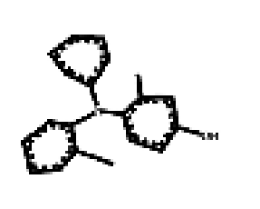 Cc1ccccc1N(c1ccccc1)c1ccc(O)cc1C